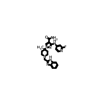 CC1(n2cc(C(N)=O)c(Nc3ccnc(F)c3)n2)CCN(Cc2nc3ccccc3[nH]2)CC1